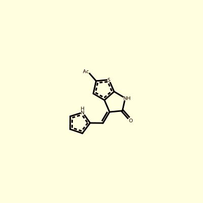 CC(=O)c1cc2c(s1)NC(=O)/C2=C/c1ccc[nH]1